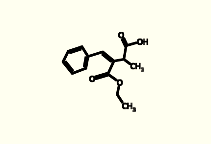 CCOC(=O)C(=Cc1ccccc1)C(C)C(=O)O